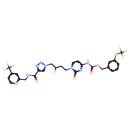 O=C(Nc1ccn(CCC(F)Cn2cc(C(=O)NCc3cc(C(F)(F)F)ccn3)nn2)c(=O)n1)OCc1cccc(OC(F)(F)F)c1